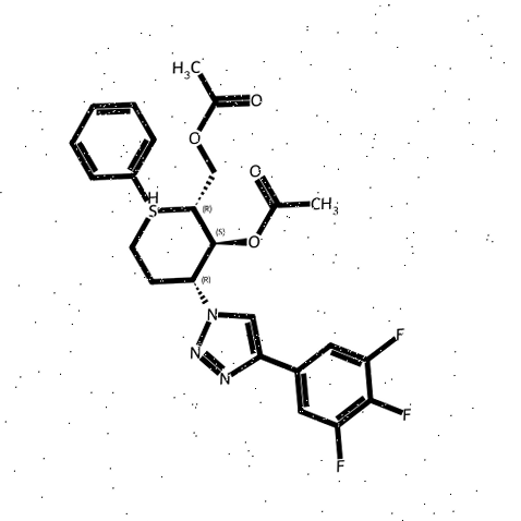 CC(=O)OC[C@@H]1[C@@H](OC(C)=O)[C@H](n2cc(-c3cc(F)c(F)c(F)c3)nn2)CC[SH]1c1ccccc1